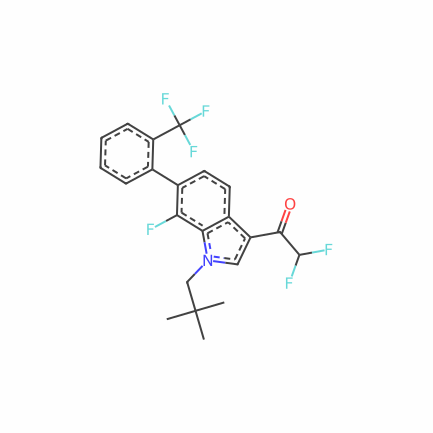 CC(C)(C)Cn1cc(C(=O)C(F)F)c2ccc(-c3ccccc3C(F)(F)F)c(F)c21